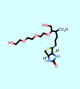 O=C1N[C@H]2[C@H](CS[C@H]2CCCC(C(=O)O)C(CO)OCCOCCOCCO)N1